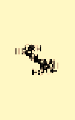 OCC1O[C@@H](OCc2cn(Cc3cc(O)c(O)c(O)c3)nn2)[C@@H](O)C(O)[C@@H]1O